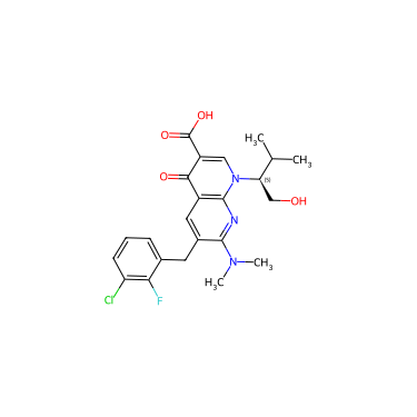 CC(C)[C@@H](CO)n1cc(C(=O)O)c(=O)c2cc(Cc3cccc(Cl)c3F)c(N(C)C)nc21